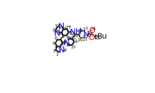 Cn1ccc2ccc(-c3cc(NC(c4cccnc4)C4CCN(C(=O)OC(C)(C)C)CC4)cc4nccnc34)cc21